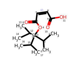 CC(C)[Si](OC(=O)/C=C\C(=O)O)(C(C)C)C(C)C